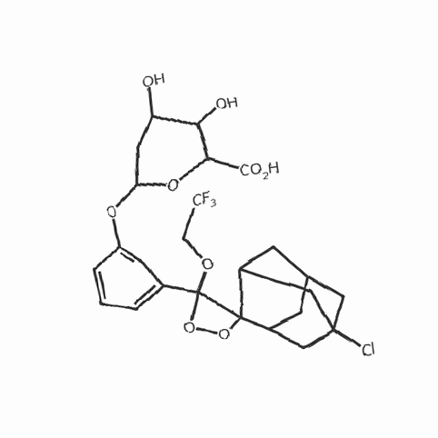 O=C(O)C1OC(Oc2cccc(C3(OCC(F)(F)F)OOC34C3CC5CC4CC(Cl)(C5)C3)c2)CC(O)C1O